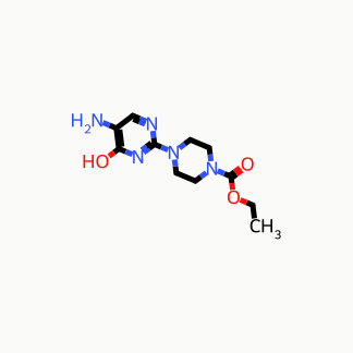 CCOC(=O)N1CCN(c2ncc(N)c(O)n2)CC1